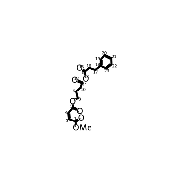 COC(=O)/C=C\C(=O)OCCCC(=O)OC(=O)CCc1ccccc1